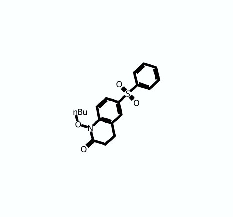 CCCCON1C(=O)CCc2cc(S(=O)(=O)c3ccccc3)ccc21